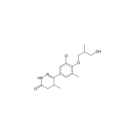 Cc1cc(C2=NNC(=O)CC2C)cc(Cl)c1OCC(C)CO